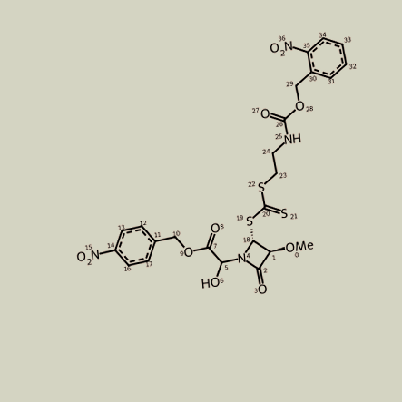 CO[C@H]1C(=O)N(C(O)C(=O)OCc2ccc([N+](=O)[O-])cc2)[C@@H]1SC(=S)SCCNC(=O)OCc1ccccc1[N+](=O)[O-]